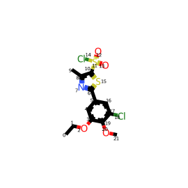 CCOc1cc(-c2nc(C)c(S(=O)(=O)Cl)s2)cc(Cl)c1OC